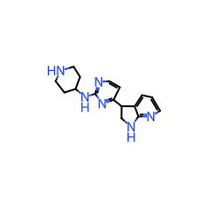 c1cnc2c(c1)C(c1ccnc(NC3CCNCC3)n1)CN2